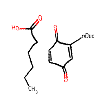 CCCCCC(=O)O.CCCCCCCCCCC1=CC(=O)C=CC1=O